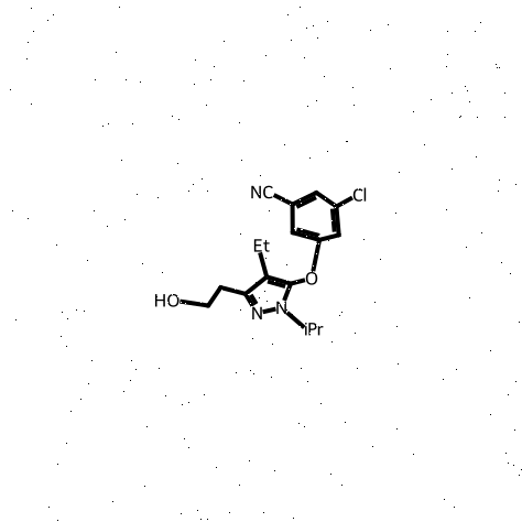 CCc1c(CCO)nn(C(C)C)c1Oc1cc(Cl)cc(C#N)c1